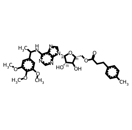 COc1cc(C(C)Nc2ncnc3c2ncn3[C@@H]2O[C@H](COC(=O)CCc3ccc(C)cc3)C(O)[C@@H]2O)cc(OC)c1OC